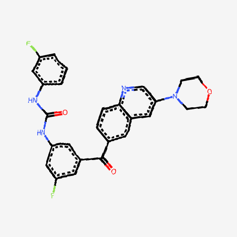 O=C(Nc1cccc(F)c1)Nc1cc(F)cc(C(=O)c2ccc3ncc(N4CCOCC4)cc3c2)c1